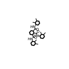 Cc1cccc(NC(=O)c2cccc(C(=O)Nc3cccc(C)c3C)c2C(=O)Nc2cccc(C)c2C)c1C